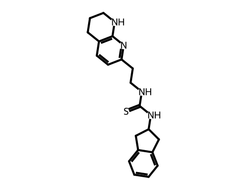 S=C(NCCc1ccc2c(n1)NCCC2)NC1Cc2ccccc2C1